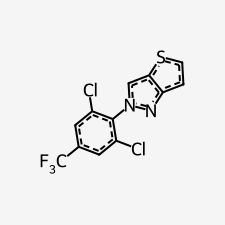 FC(F)(F)c1cc(Cl)c(-n2cc3sccc3n2)c(Cl)c1